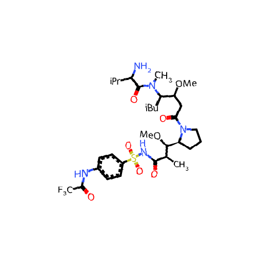 CCC(C)C(C(CC(=O)N1CCC[C@H]1C(OC)C(C)C(=O)NS(=O)(=O)c1ccc(NC(=O)C(F)(F)F)cc1)OC)N(C)C(=O)C(N)C(C)C